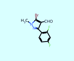 Cn1nc(-c2ccc(F)cc2F)c(C=O)c1Br